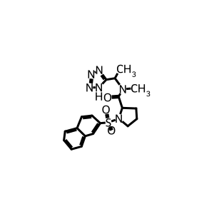 CC(c1nnn[nH]1)N(C)C(=O)C1CCCN1S(=O)(=O)c1ccc2ccccc2c1